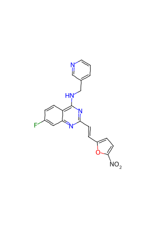 O=[N+]([O-])c1ccc(C=Cc2nc(NCc3cccnc3)c3ccc(F)cc3n2)o1